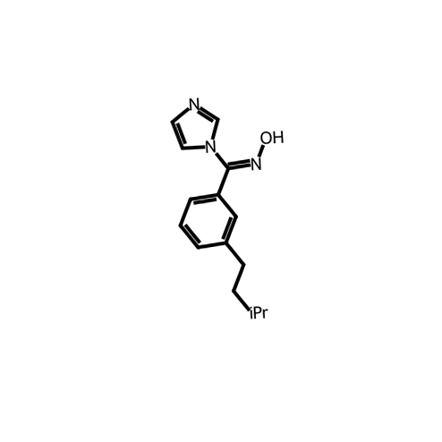 CC(C)CCc1cccc(C(=NO)n2ccnc2)c1